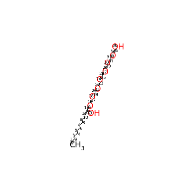 CCCCCCCCCCCCC(O)COCCOCCOCCOCCOCCOCCOCCO